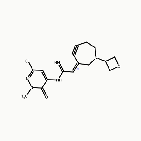 Cn1nc(Cl)cc(NC(=N)/C=C2\C#CCCN(C3COC3)C2)c1=O